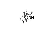 CC1NC2(C)C3CCC(C3)C2(C)C1C